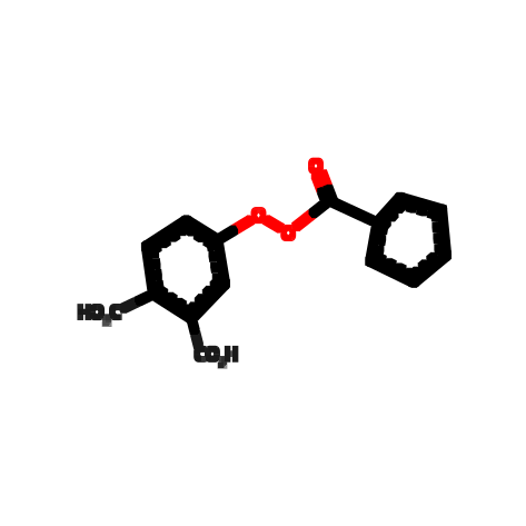 O=C(OOc1ccc(C(=O)O)c(C(=O)O)c1)c1ccccc1